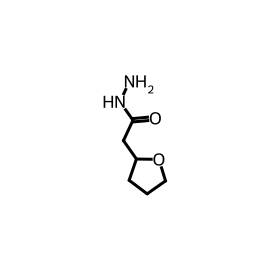 NNC(=O)CC1CCCO1